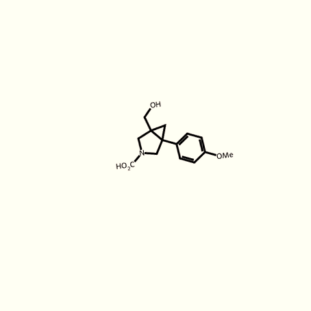 COc1ccc(C23CN(C(=O)O)CC2(CO)C3)cc1